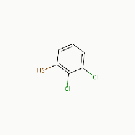 Sc1[c]ccc(Cl)c1Cl